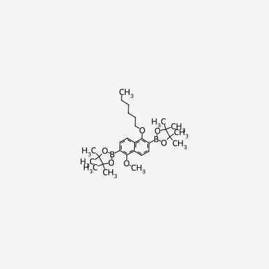 CCCCCCOc1c(B2OC(C)(C)C(C)(C)O2)ccc2c(OC)c(B3OC(C)(C)C(C)(C)O3)ccc12